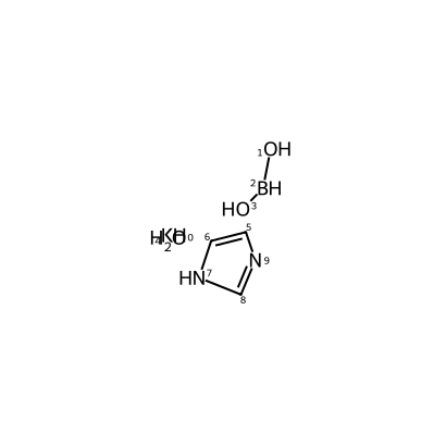 O.OBO.[KH].c1c[nH]cn1